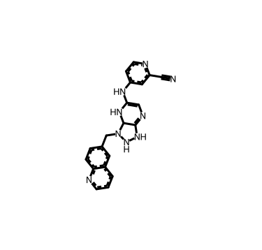 N#Cc1cc(NC2=CN=C3NNN(Cc4ccc5ncccc5c4)C3N2)ccn1